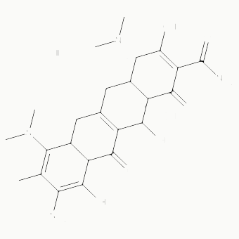 CN(C)C1=C(I)C(N)=C(O)C2C(=O)C3=C(CC12)CC1[C@H](N(C)C)C(O)=C(C(N)=O)C(=O)[C@@]1(O)C3O.I